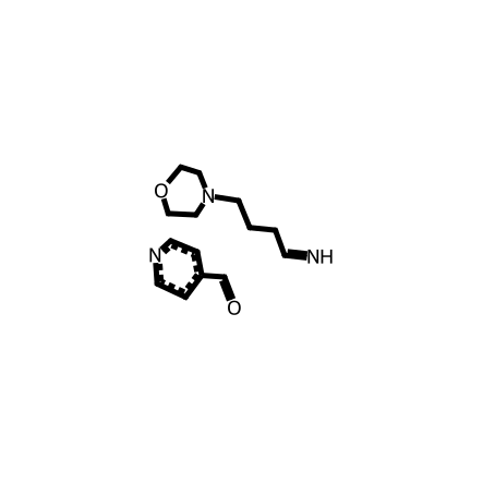 N=CCCCN1CCOCC1.O=Cc1ccncc1